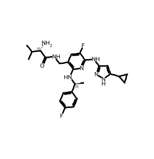 CC(C)[C@H](N)C(=O)NCc1cc(F)c(Nc2cc(C3CC3)[nH]n2)nc1N[C@@H](C)c1ccc(F)cc1